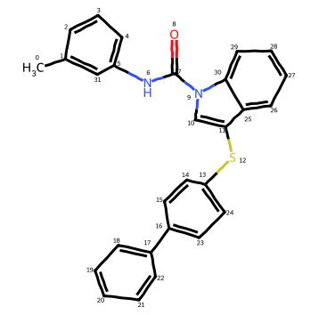 Cc1cccc(NC(=O)n2cc(Sc3ccc(-c4ccccc4)cc3)c3ccccc32)c1